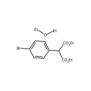 CCOC(=O)C(C(=O)OCC)c1ccc(Br)cc1.CCOCC